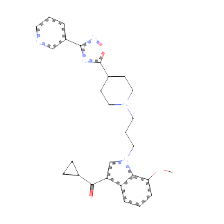 COc1cccc2c(C(=O)C3CC3)cn(CCCN3CCC(c4nc(-c5cccnc5)no4)CC3)c12